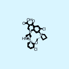 O=C(O)c1cn(-c2cn[nH]c2)c2cc(N3CCC[C@@H]3COc3ncccc3Cl)c(Cl)cc2c1=O